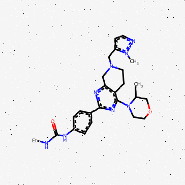 CCNC(=O)Nc1ccc(-c2nc3c(c(N4CCOCC4C)n2)CCN(Cc2ccnn2C)C3)cc1